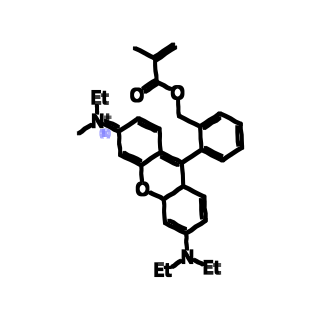 C=C(C)C(=O)OCc1ccccc1C1=C2C=C/C(=[N+](/C)CC)C=C2OC2C=C(N(CC)CC)C=CC12